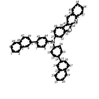 c1ccc2cc(-c3ccc(N(c4ccc(-c5ccc6ccccc6c5)cc4)c4ccc5c(c4)oc4nc6ccccc6cc45)cc3)ccc2c1